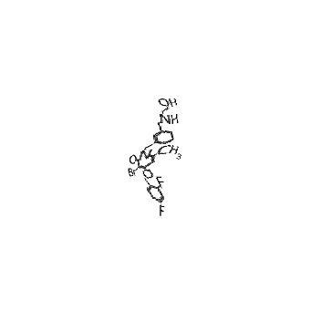 Cc1cc(OCc2ccc(F)cc2F)c(Br)c(=O)n1Cc1cccc(CNCCO)c1